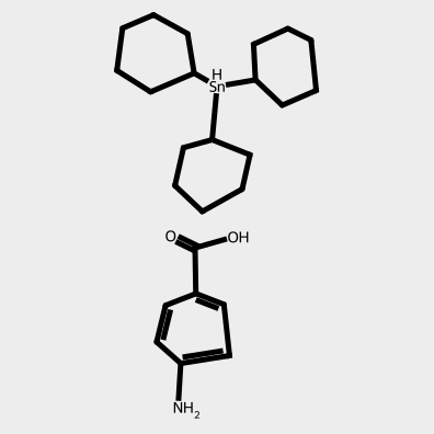 C1CC[CH]([SnH]([CH]2CCCCC2)[CH]2CCCCC2)CC1.Nc1ccc(C(=O)O)cc1